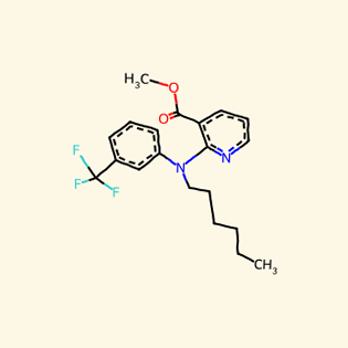 CCCCCCN(c1cccc(C(F)(F)F)c1)c1ncccc1C(=O)OC